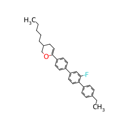 CCCCCC1CC=C(c2ccc(-c3ccc(-c4ccc(CC)cc4)c(F)c3)cc2)OC1